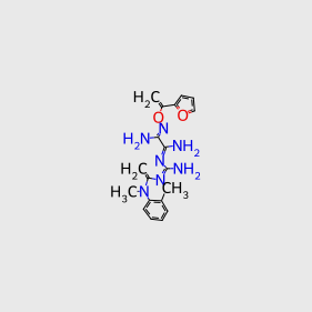 C=C(O/N=C(N)/C(N)=N/C(N)=N\C(=C)N(C)c1ccccc1C)c1ccco1